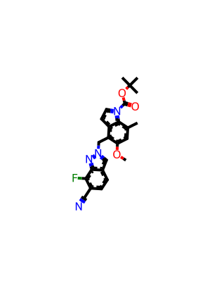 COc1cc(C)c2c(ccn2C(=O)OC(C)(C)C)c1Cn1cc2ccc(C#N)c(F)c2n1